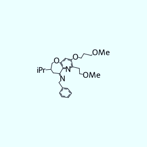 COCCCOc1cc2c(nc1CCOC)C(=NCc1ccccc1)CC(C(C)C)CO2